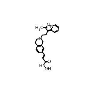 Cc1nn2ccccc2c1CCN1CCc2ccc(C=CC(=O)NO)cc2C1